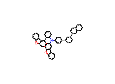 c1cc(-c2ccc(N(c3ccc4oc5ccccc5c4c3)c3ccccc3-c3cccc4oc5ccccc5c34)cc2)cc(-c2ccc3ccccc3c2)c1